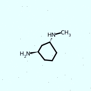 CN[C@@H]1CCC[C@@H](N)C1